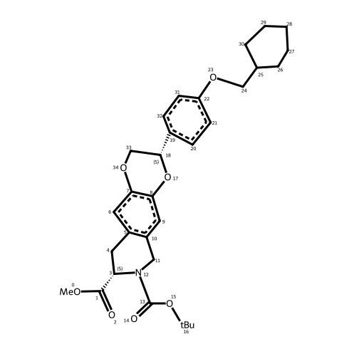 COC(=O)[C@@H]1Cc2cc3c(cc2CN1C(=O)OC(C)(C)C)O[C@@H](c1ccc(OCC2CCCCC2)cc1)CO3